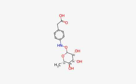 C[C@@H]1OC(ONc2ccc(CC(=O)O)cc2)[C@H](O)[C@H](O)[C@H]1O